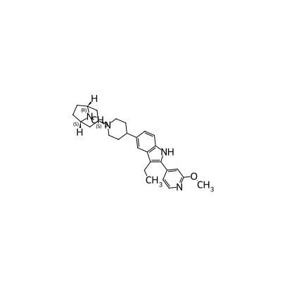 CCc1c(-c2ccnc(OC)c2)[nH]c2ccc(C3CCN([C@@H]4C[C@H]5CC[C@@H](C4)N5C)CC3)cc12